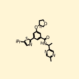 Cc1cnc(C(C)NC(=O)c2cc(O[C@H]3CCOC3)cc(-c3ncc(C(C)C)s3)c2)cn1